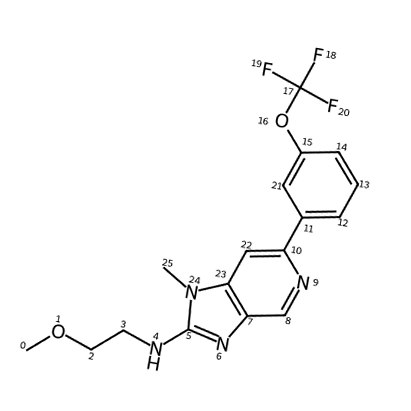 COCCNc1nc2cnc(-c3cccc(OC(F)(F)F)c3)cc2n1C